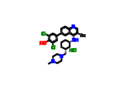 CC(=O)c1cnc2ccc(-c3cc(Cl)c(O)c(Cl)c3)cc2c1N[C@H]1CCC[C@@H](CN2CCN(C)CC2)C1.Cl